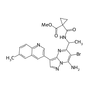 COC(=O)C1(C(=O)NC(C)c2nc3c(-c4cnc5ccc(C)cc5c4)cnn3c(N)c2Br)CC1